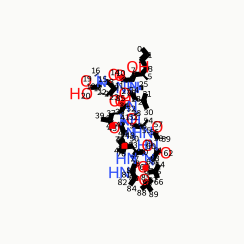 C/C=C/C[C@@H](C)[C@@H](O)[C@@H](C(=O)N[C@H](C(=O)N(C)CC(=O)O)[C@@H](C)O)N(C)C(=O)[C@H](C(C)C)N(C)C(=O)[C@H](CC(C)C)NC(=O)[C@H](CC(C)C)N(C)C(=O)[C@@H](C)NC(=O)[C@H](C)NC(=O)[C@H](CC(C)C)N(C)C(=O)[C@H](CC(C)C)NC(=O)[C@@H](NC)C(C)OC(C)(C)C